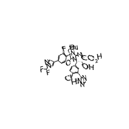 CC(C)(C)CC1(c2ccc(-c3cnn(C(F)F)c3)cc2F)NC(=NC(=O)O)N([C@H](CO)c2ccc(Cl)c(-c3ncn[nH]3)c2)C1=O